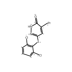 CC(C)c1cc(Sc2c(Cl)c[c]cc2Cl)n[nH]c1=O